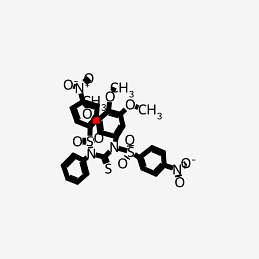 COc1cc(N(C(=S)N(c2ccccc2)S(=O)(=O)c2ccc([N+](=O)[O-])cc2)S(=O)(=O)c2ccc([N+](=O)[O-])cc2)cc(OC)c1OC